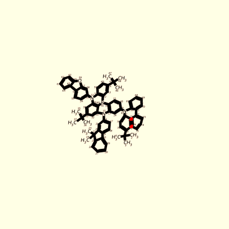 CC(C)(C)c1ccc(N(c2ccc3c(c2)N(c2ccc4c(c2)C(C)(C)c2ccccc2-4)c2cc(C(C)(C)C)cc4c2B3c2cc(C(C)(C)C)ccc2N4c2ccc3c(c2)oc2ccccc23)c2ccccc2-c2ccccc2)cc1